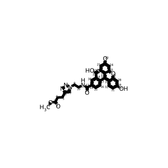 COC(=O)CCc1cn(CCNC(=O)c2ccc(-c3c4ccc(=O)cc-4oc4cc(O)ccc34)c(C(=O)O)c2)nn1